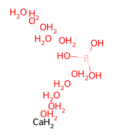 O.O.O.O.O.O.O.O.O.O.OB(O)O.[CaH2]